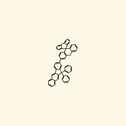 c1ccc(C2(c3ccccc3)c3cc(-c4ccc5c(c4)Oc4ccccc4C54c5ccccc5-c5ccccc54)ccc3-c3cc4ccccc4cc32)cc1